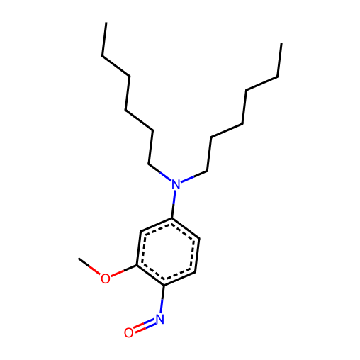 CCCCCCN(CCCCCC)c1ccc(N=O)c(OC)c1